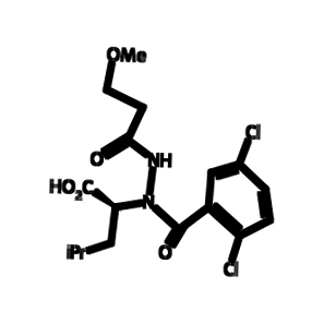 COCCC(=O)NN(C(=O)c1cc(Cl)ccc1Cl)[C@@H](CC(C)C)C(=O)O